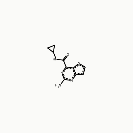 Nc1nc(C(=O)NC2CC2)c2sccc2n1